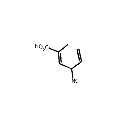 [C-]#[N+]C(C=C)C=C(C)C(=O)O